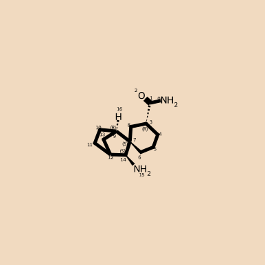 NC(=O)[C@@H]1CCC[C@]2(C1)[C@@H]1CCC(C1)[C@@H]2N